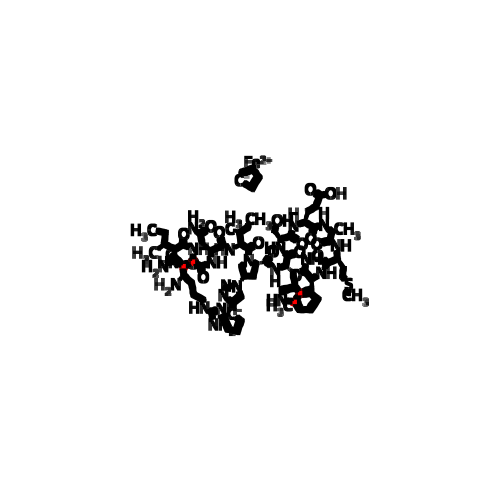 CC[C@@H](C)[C@H](NC(=O)[C@H](CC(N)=O)NC(=O)[C@H](CC(N)=O)NC(=O)[C@@H](NC(=O)[C@@H](N)CCCNC(=N)N)[C@@H](C)CC)C(=O)N1C[C@@H](n2cc(-[c-]3cccc3)nn2)C[C@H]1C(=O)N[C@@H](Cc1c[nH]c2ccccc12)C(=O)N[C@@H](CO)C(=O)N[C@@H](CCC(=O)O)C(=O)N[C@@H](C)C(=O)N[C@@H](CCSC)C(=O)N[C@@H](CCSC)C(N)=O.[Fe+2].c1cc[cH-]c1